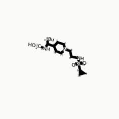 CC(C)(C)C(NC(=O)O)C1CCN(CCNS(=O)(=O)C2CC2)CC1